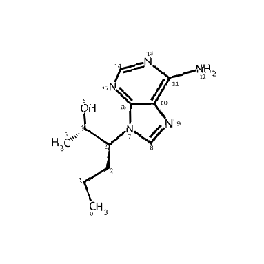 CCC[C@@H]([C@H](C)O)n1cnc2c(N)ncnc21